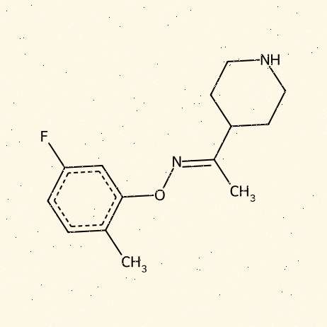 C/C(=N\Oc1cc(F)ccc1C)C1CCNCC1